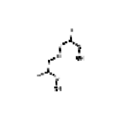 CC(COCC(C)OO)OO